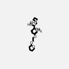 C=C(/C=C\C(=C/C)OCCOC1CCCCO1)[C@@H](CN1CCC1)NC